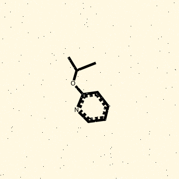 CC(C)Oc1c[c]ccn1